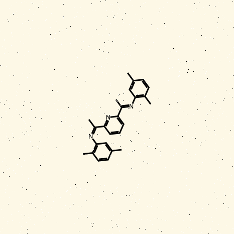 CC(=Nc1cc(C)ccc1C)c1cccc(C(C)=Nc2cc(C)ccc2C)n1